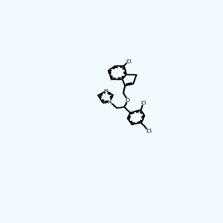 Clc1ccc(C(Cn2ccnc2)OCC2=CCc3c(Cl)cccc32)c(Cl)c1